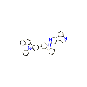 c1ccc(-n2c3ccc(-c4ccc5c(c4)c4ccccc4n5-c4cc5c(cn4)-c4cccc6nccc-5c46)cc3c3ccc4ccccc4c32)cc1